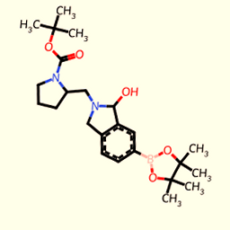 CC(C)(C)OC(=O)N1CCCC1CN1Cc2ccc(B3OC(C)(C)C(C)(C)O3)cc2C1O